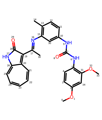 COc1ccc(NC(=O)Nc2ccc(C)c(/N=C(\C)c3c4cccccc-4[nH]c3=O)c2)c(OC)c1